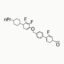 CCCC1CCC(C2CC=C(OCc3ccc(C4=CCC(C5CO5)C=C4F)cc3)C(F)=C2F)CC1